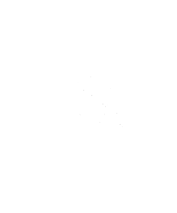 COc1ccc(NC(=O)c2cc(F)c(Cl)cc2Nc2ccc(F)cc2C)c(C)n1